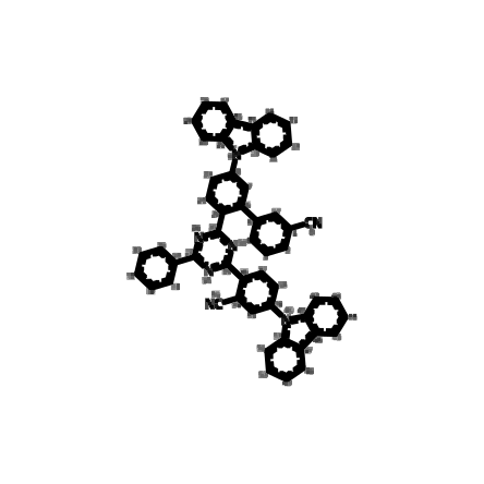 N#Cc1cccc(-c2cc(-n3c4ccccc4c4ccccc43)ccc2-c2nc(-c3ccccc3)nc(-c3ccc(-n4c5ccccc5c5ccccc54)cc3C#N)n2)c1